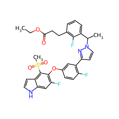 CCOC(=O)CCc1cccc(C(C)n2ccc(-c3cc(Oc4c(F)cc5[nH]ccc5c4S(C)(=O)=O)ccc3F)n2)c1F